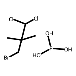 CC(C)(CBr)C(Cl)Cl.OP(O)O